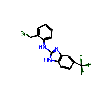 FC(F)(F)c1ccc2[nH]c(Nc3ccccc3CBr)nc2c1